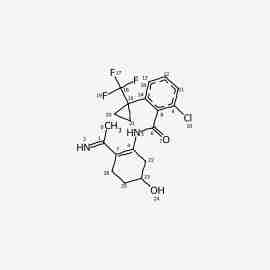 CC(=N)C1=C(NC(=O)c2c(Cl)cccc2C2(C(F)(F)F)CC2)CC(O)CC1